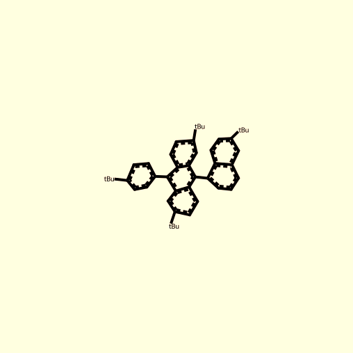 CC(C)(C)c1ccc(-c2c3cc(C(C)(C)C)ccc3c(-c3cccc4cc(C(C)(C)C)ccc34)c3cc(C(C)(C)C)ccc23)cc1